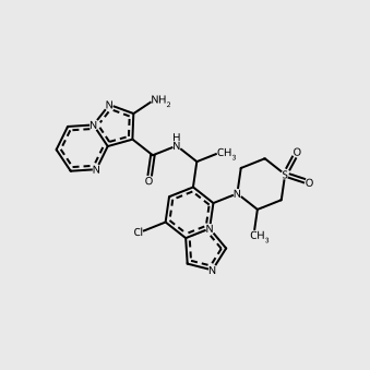 CC(NC(=O)c1c(N)nn2cccnc12)c1cc(Cl)c2cncn2c1N1CCS(=O)(=O)CC1C